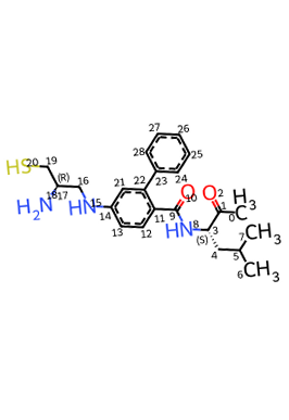 CC(=O)[C@H](CC(C)C)NC(=O)c1ccc(NC[C@@H](N)CS)cc1-c1ccccc1